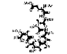 CC[C@H](C)[C@H](NC(=O)[C@H]([C@@H](C)CC)N(C)C(=O)[C@@H](NC(=O)[C@H](CCC(=O)OC)NC(C)=O)[C@@H](C)CC)C(=O)N(C)[C@H](C(=O)N(C)[C@H](C(=O)N(C)[C@H](C(=O)N(C)[C@@H](CC(C)C)C(=O)O)[C@@H](C)CC)[C@@H](C)CC)C(C)C